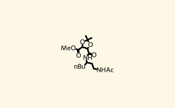 CCCCC(CCNC(C)=O)NC(=O)C1OC(C)(C)OC1C(=O)OC